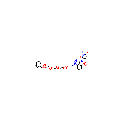 O=C1CCC(N2Cc3c(NCCOCCOCCOCCOCc4ccccc4)cccc3C2=O)C(=O)N1